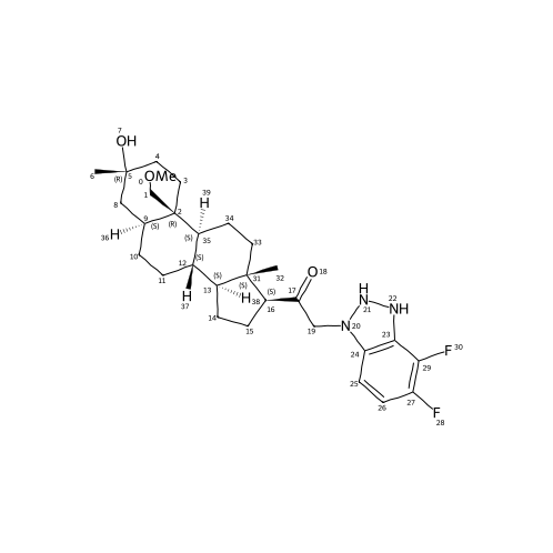 COC[C@]12CC[C@@](C)(O)C[C@@H]1CC[C@H]1[C@@H]3CC[C@H](C(=O)CN4NNc5c4ccc(F)c5F)[C@@]3(C)CC[C@@H]12